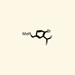 CNCc1ccc(Br)c(C(F)F)c1